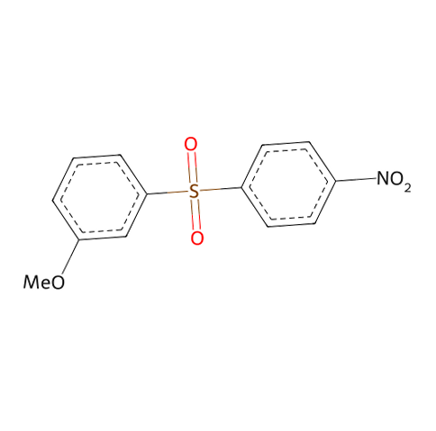 COc1cccc(S(=O)(=O)c2ccc([N+](=O)[O-])cc2)c1